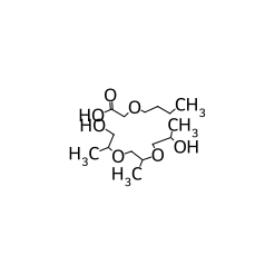 CC(O)COC(C)COC(C)CO.CCCCOCC(=O)O